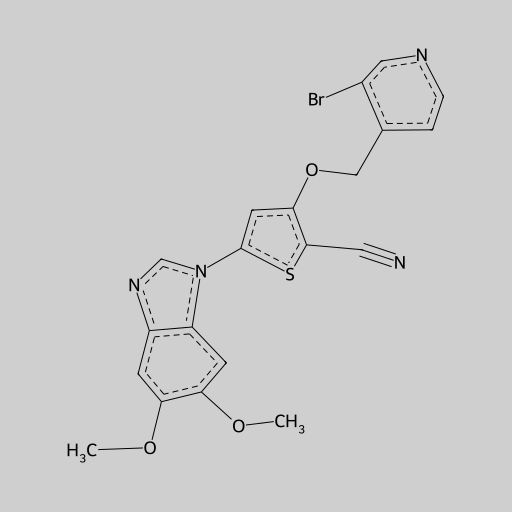 COc1cc2ncn(-c3cc(OCc4ccncc4Br)c(C#N)s3)c2cc1OC